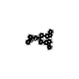 C1=C(c2ccc3ccc4ccccc4c3c2)C=C(N(c2ccc(-c3cccc4c3oc3ccccc34)cc2)c2cccc(-c3cc4c5c(cccc5c3)-c3ccccc3-4)c2)CC1